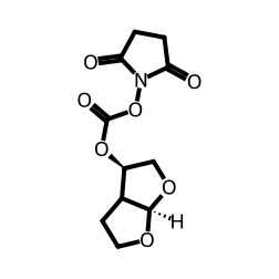 O=C(O[C@H]1CO[C@H]2OCCC21)ON1C(=O)CCC1=O